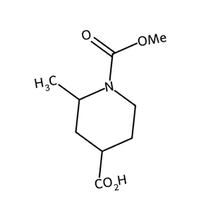 COC(=O)N1CCC(C(=O)O)CC1C